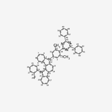 Cc1cc(-n2c3ccccc3c3c2ccc2c4ccccc4n(-c4ccccc4F)c23)cc(C)c1-c1nc(-c2ccccc2)nc(-c2ccccc2)n1